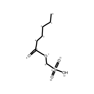 CCCCCC(=O)OCS(=O)(=O)O